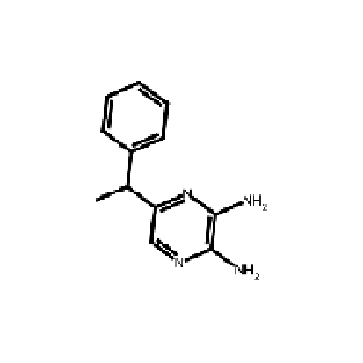 CC(c1ccccc1)c1cnc(N)c(N)n1